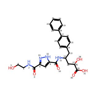 O=C(NCCO)c1cc(C(=O)NC(Cc2ccc(-c3ccccc3)cc2)C[C@@H](O)C(=O)O)[nH]n1